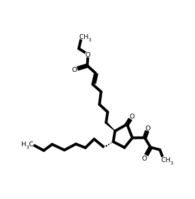 CCCCCCCC[C@H]1CC(C(=O)C(=O)CC)C(=O)[C@@H]1CCCCC=CC(=O)OCC